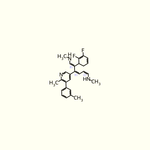 CN\C=C/C=C(\C(=C\NC)C1CC=CC(F)=C1F)c1cnc(C)c(-c2cccc(C)c2)c1